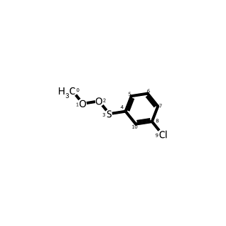 COOSc1cccc(Cl)c1